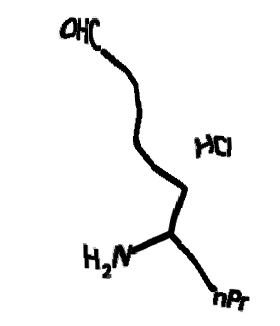 CCCC(N)CCCC=O.Cl